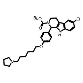 CC(C)COC(=O)N1CCc2c([nH]c3ccc(Cl)cc23)C1c1ccc(OCCCCCCN2CCCC2)cc1